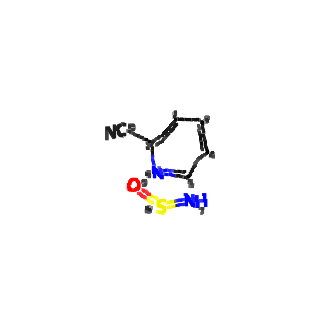 N#Cc1ccccn1.N=S=O